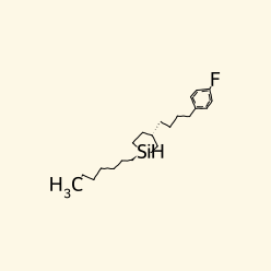 CCCCCCC[Si@H]1CC[C@H](CCCCc2ccc(F)cc2)CC1